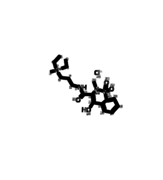 CC[N+](C)(CC)CCCNC(=O)C1=C(O)c2ccccc2S(=O)(=O)N1C.[Cl-]